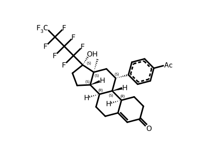 CC(=O)c1ccc([C@H]2C[C@@]3(C)[C@@H](CC[C@@]3(O)C(F)(F)C(F)(F)C(F)(F)C(F)(F)F)[C@@H]3CCC4=CC(=O)CC[C@@H]4[C@H]32)cc1